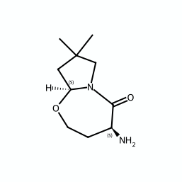 CC1(C)C[C@@H]2OCC[C@H](N)C(=O)N2C1